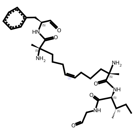 CC[C@H](C)[C@H](NC(=O)[C@@](C)(N)CCC/C=C\CCC[C@](C)(N)C(=O)N[C@H](C=O)Cc1ccccc1)C(=O)NCC=O